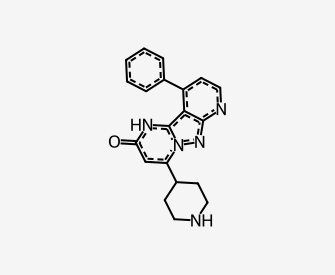 O=c1cc(C2CCNCC2)n2nc3nccc(-c4ccccc4)c3c2[nH]1